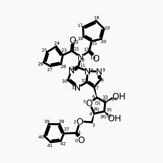 O=C(OC[C@H]1O[C@@H](c2cnn3c(N(C(=O)c4ccccc4)C(=O)c4ccccc4)ncnc23)[C@@H](O)[C@H]1O)c1ccccc1